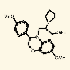 COc1ccc(C2COc3cc(OC)ccc3N2CC(COCC(C)C)N2CCCC2)cc1